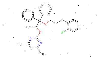 Cc1cc(C)nc(OC(C(=O)O)C(OCCCc2ccccc2Cl)(c2ccccc2)c2ccccc2)n1